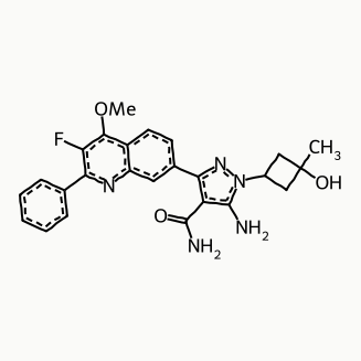 COc1c(F)c(-c2ccccc2)nc2cc(-c3nn(C4CC(C)(O)C4)c(N)c3C(N)=O)ccc12